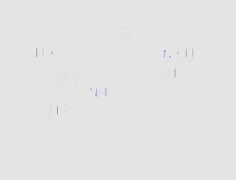 Cc1ccc(OCCN(C)C)cc1C(=O)NC(C)c1cccc2ccccc12